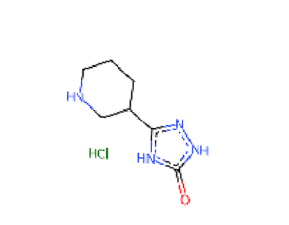 Cl.O=c1[nH]nc(C2CCCNC2)[nH]1